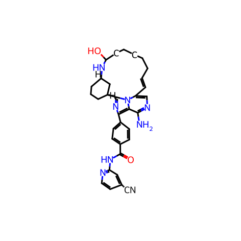 N#Cc1ccnc(NC(=O)c2ccc(-c3nc4n5c(cnc(N)c35)/C=C/CCCCCC(O)N[C@@H]3CCC[C@@H]4C3)cc2)c1